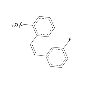 O=C(O)c1ccccc1/C=C\c1cccc(F)c1